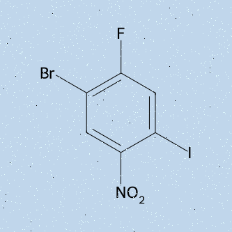 O=[N+]([O-])c1cc(Br)c(F)cc1I